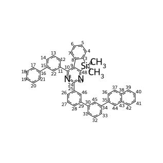 C[Si]1(C)c2ccccc2-c2c(-c3cccc(-c4ccccc4)c3)nc(-c3cccc(-c4cccc(-c5ccc6ccccc6c5)c4)c3)nc21